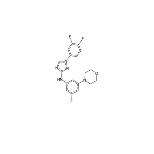 Fc1cc(Nc2ncn(-c3ccc(F)c(F)c3)n2)cc(N2CCOCC2)c1